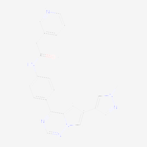 Cn1cc(-c2cc3c(-c4ccc(NC(=O)Cc5cccnc5)cc4)ncnn3c2)cn1